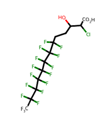 O=C(O)C(Cl)C(O)CCC(F)(F)C(F)(F)C(F)(F)C(F)(F)C(F)(F)C(F)(F)C(F)(F)C(F)(F)F